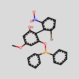 COc1cc(O)c(-c2c(Br)cccc2[N+](=O)[O-])c(OP(c2ccccc2)c2ccccc2)c1